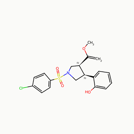 C=C(OC)[C@@H]1CN(S(=O)(=O)c2ccc(Cl)cc2)C[C@@H]1c1ccccc1O